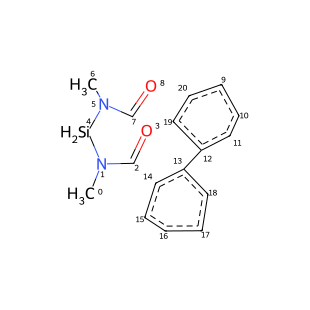 CN(C=O)[SiH2]N(C)C=O.c1ccc(-c2ccccc2)cc1